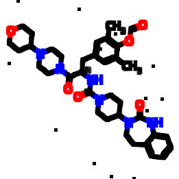 Cc1cc(C[C@@H](NC(=O)N2CCC(N3CCc4ccccc4NC3=O)CC2)C(=O)N2CCN(C3CCOCC3)CC2)cc(C)c1OC=O